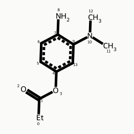 CCC(=O)Oc1ccc(N)c(N(C)C)c1